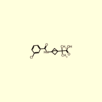 CC(C)(C(=O)O)C12CC(NC(=O)c3cccc(Cl)c3)(C1)C2